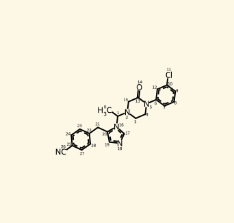 CC(N1CCN(c2cccc(Cl)c2)C(=O)C1)n1cncc1Cc1ccc(C#N)cc1